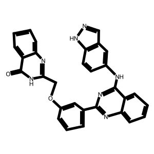 O=c1[nH]c(COc2cccc(-c3nc(Nc4ccc5[nH]ncc5c4)c4ccccc4n3)c2)nc2ccccc12